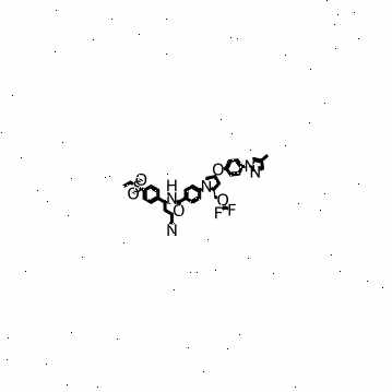 CCS(=O)(=O)c1ccc(C(CCC#N)NC(=O)c2ccc(N3C[C@@H](Oc4ccc(-n5cc(C)cn5)cc4)C[C@H]3COC(F)F)cc2)cc1